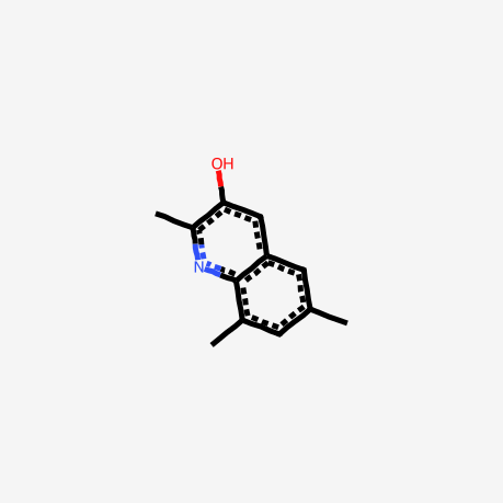 Cc1cc(C)c2nc(C)c(O)cc2c1